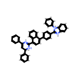 C1=C(c2ccccc2)N=C(c2ccc(-c3ccc(-c4nc5ccccc5n4-c4ccccc4)cc3)c3ccccc23)NC1c1ccccc1